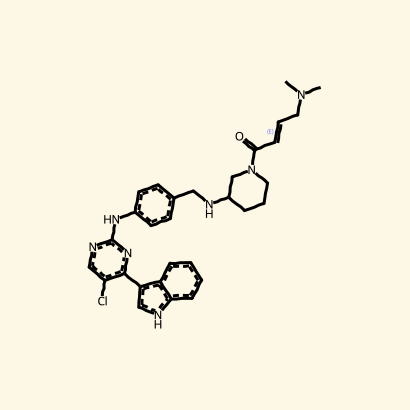 CN(C)C/C=C/C(=O)N1CCCC(NCc2ccc(Nc3ncc(Cl)c(-c4c[nH]c5ccccc45)n3)cc2)C1